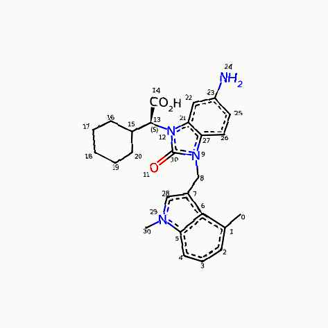 Cc1cccc2c1c(Cn1c(=O)n([C@H](C(=O)O)C3CCCCC3)c3cc(N)ccc31)cn2C